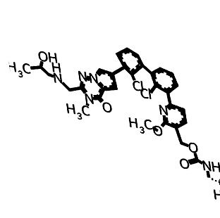 COc1nc(-c2cccc(-c3cccc(-c4cc5c(=O)n(C)c(CNCC(C)O)nn5c4)c3Cl)c2Cl)ccc1COC(=O)NC[C@@H]1CCC(=O)N1